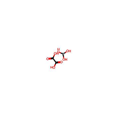 O=C(O)C(=O)O.OB(O)O